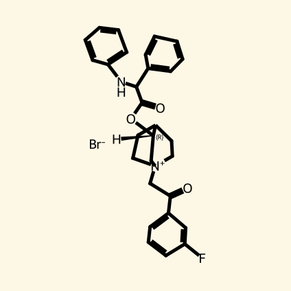 O=C(C[N+]12CCC(CC1)[C@@H](OC(=O)C(Nc1ccccc1)c1ccccc1)C2)c1cccc(F)c1.[Br-]